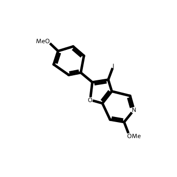 COc1ccc(-c2oc3cc(OC)ncc3c2I)cc1